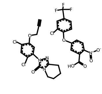 C#CCOc1cc(-n2nc3n(c2=O)CCCC3)c(Cl)cc1Cl.O=C(O)c1cc(Oc2ccc(C(F)(F)F)cc2Cl)ccc1[N+](=O)[O-]